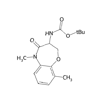 Cc1cccc2c1OCC(NC(=O)OC(C)(C)C)C(=O)N2C